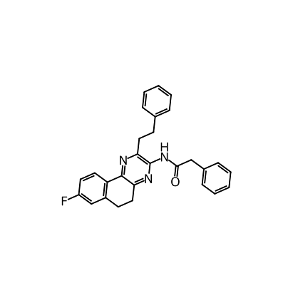 O=C(Cc1ccccc1)Nc1nc2c(nc1CCc1ccccc1)-c1ccc(F)cc1CC2